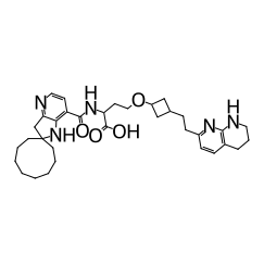 O=C(NC(CCOC1CC(CCc2ccc3c(n2)NCCC3)C1)C(=O)O)c1ccnc2c1NC1(CCCCCCCC1)C2